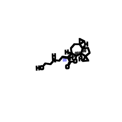 O=C1O[C@@H]2[C@@H]3[C@@H](CCC34CC4)C3(CC[C@H]2/C1=C/CNCCO)CC3